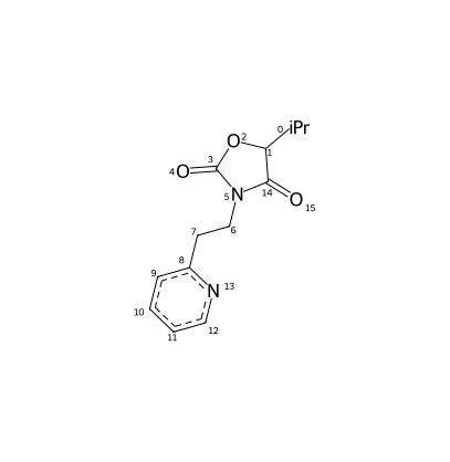 CC(C)C1OC(=O)N(CCc2ccccn2)C1=O